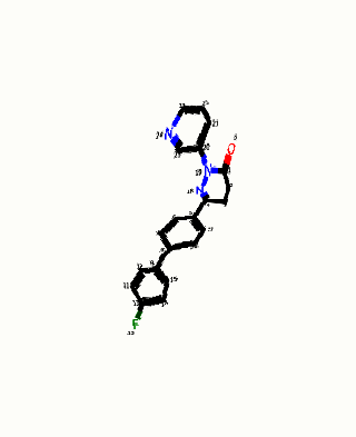 O=C1CCC(c2ccc(-c3ccc(F)cc3)cc2)=NN1c1cccnc1